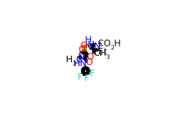 CCC1N(C(=O)O)C[C@@H]2NS(=O)(=O)c3cn(C)c(C(=O)Nc4cc(F)c(F)c(F)c4)c3OC[C@]12C